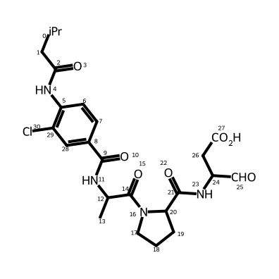 CC(C)CC(=O)Nc1ccc(C(=O)NC(C)C(=O)N2CCCC2C(=O)NC(C=O)CC(=O)O)cc1Cl